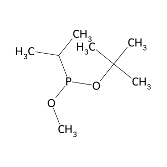 COP(OC(C)(C)C)C(C)C